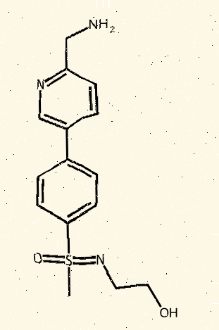 CS(=O)(=NCCO)c1ccc(-c2ccc(CN)nc2)cc1